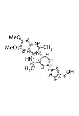 COc1cc2nc(C)nc(NC(C)c3cccc(-c4ccc(CO)s4)c3)c2cc1OC